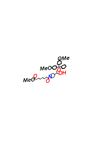 COC(=O)CCCCCCC(=O)N1CCC(C(CO)COC(c2ccccc2)(c2ccc(OC)cc2)c2ccc(OC)cc2)CC1